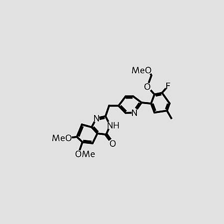 COCOc1c(F)cc(C)cc1-c1ccc(Cc2nc3cc(OC)c(OC)cc3c(=O)[nH]2)cn1